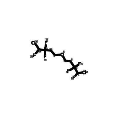 FC(Cl)C(F)(F)CCOCCC(F)(F)C(F)Cl